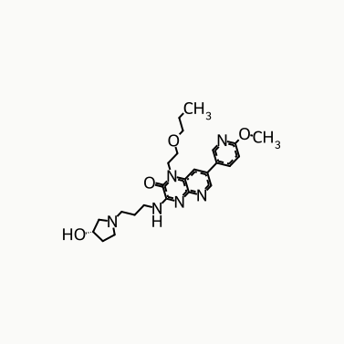 CCCOCCn1c(=O)c(NCCCN2CC[C@H](O)C2)nc2ncc(-c3ccc(OC)nc3)cc21